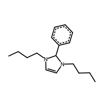 CCCCN1C=CN(CCCC)C1c1ccccc1